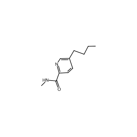 CCCCc1ccc(C(=O)NC)nc1